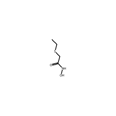 CCSCC(=O)NO